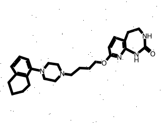 O=C1NCCc2ccc(OCCCCN3CCN(c4cccc5c4CCCC5)CC3)nc2N1